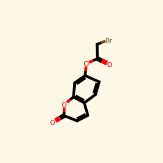 O=C(CBr)Oc1ccc2ccc(=O)oc2c1